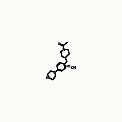 CC(=O)N1CCC(Cc2ccc(N3CCNCC3)cc2)CC1.Cl.Cl